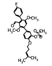 COc1cc(-c2ccc(OCCC=C(C)C)c(OS(C)(=O)=O)c2)c(OC)c(C=O)c1-c1ccc(F)cc1